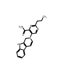 CCCc1ncc(N2C=Cc3c([nH]c4ccccc34)C2)c(C(N)=O)n1